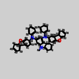 Cn1c2ccccc2c2c(N(c3ccccc3)c3ccc4oc5ccccc5c4c3)cc(N(c3ccccc3)c3ccc4c(c3)oc3ccccc34)cc21